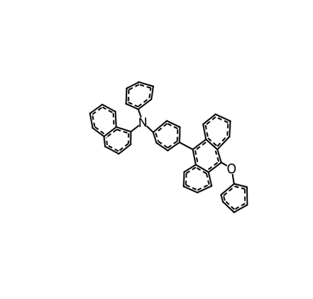 c1ccc(Oc2c3ccccc3c(-c3ccc(N(c4ccccc4)c4cccc5ccccc45)cc3)c3ccccc23)cc1